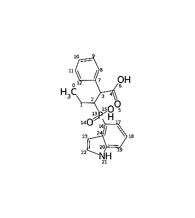 CCC(C(C(=O)O)c1ccccc1)P(=O)(O)c1cccc2[nH]ccc12